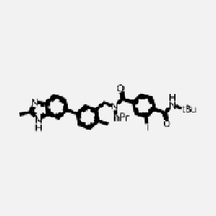 CCCN(Cc1cc(-c2ccc3nc(C)[nH]c3c2)ccc1C)C(=O)c1ccc(C(=O)NC(C)(C)C)c(I)c1